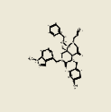 C=CCN1CC(=O)N2[C@@H](Cc3ccc(O)cc3)C(=O)N(Cc3cccc4c3cnn4C)C[C@@H]2N1NCc1ccccc1